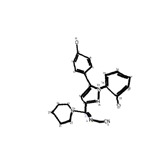 N#C/N=C(\c1cc(-c2ccc(Cl)cc2)n(-c2ccccc2Cl)n1)N1CCCCC1